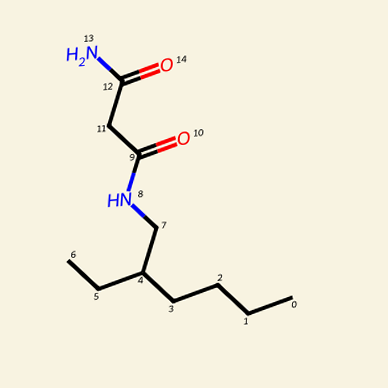 CCCCC(CC)CNC(=O)CC(N)=O